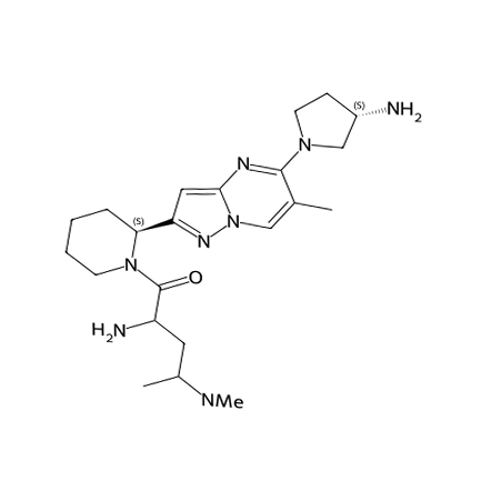 CNC(C)CC(N)C(=O)N1CCCC[C@H]1c1cc2nc(N3CC[C@H](N)C3)c(C)cn2n1